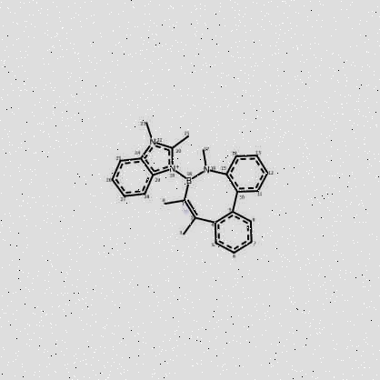 C/C1=C(\C)c2ccccc2-c2ccccc2N(C)B1[n+]1c(C)n(C)c2ccccc21